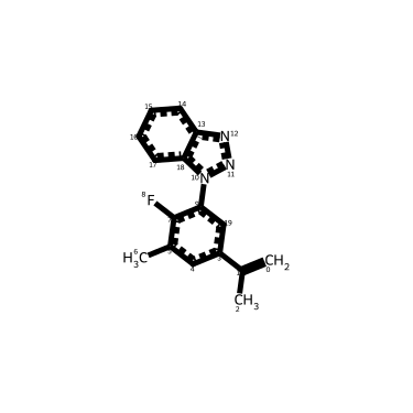 C=C(C)c1cc(C)c(F)c(-n2nnc3ccccc32)c1